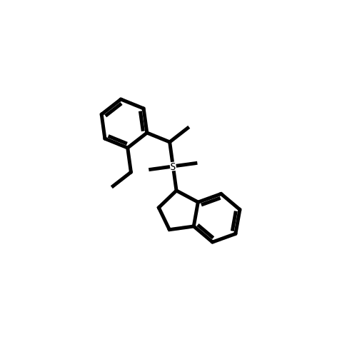 CCc1ccccc1C(C)S(C)(C)C1CCc2ccccc21